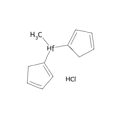 Cl.[CH3][Hf]([C]1=CC=CC1)[C]1=CC=CC1